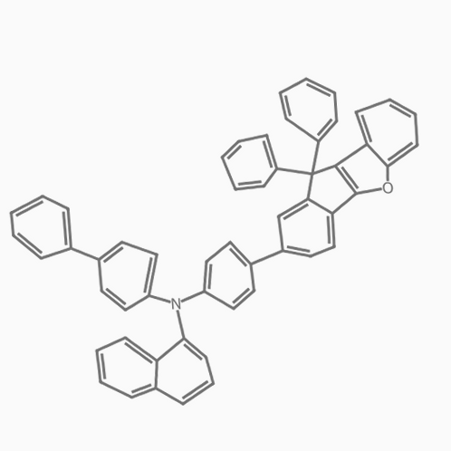 c1ccc(-c2ccc(N(c3ccc(-c4ccc5c(c4)C(c4ccccc4)(c4ccccc4)c4c-5oc5ccccc45)cc3)c3cccc4ccccc34)cc2)cc1